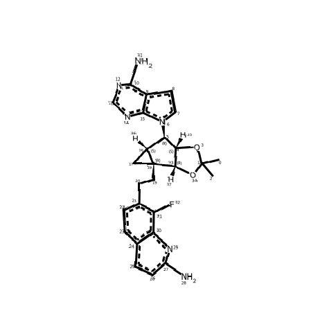 CC1(C)O[C@H]2[C@H](n3ccc4c(N)ncnc43)[C@H]3C[C@@]3(CCc3ccc4ccc(N)nc4c3F)[C@H]2O1